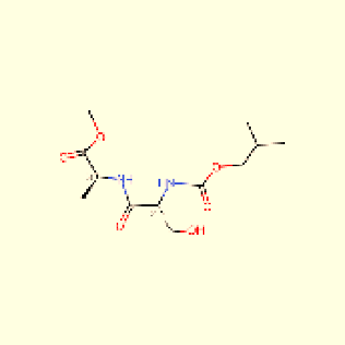 COC(=O)[C@H](C)NC(=O)[C@@H](CO)NC(=O)OCC(C)C